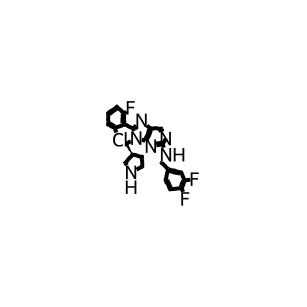 Fc1ccc(CNc2ncc3nc(-c4c(F)cccc4Cl)n(C[C@H]4CCNC4)c3n2)cc1F